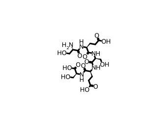 N[C@@H](CO)C(=O)N[C@@H](CCC(=O)O)C(=O)N[C@@H](CO)C(=O)N[C@@H](CCC(=O)O)C(=O)N[C@@H](CO)C(=O)O